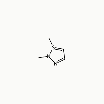 CN1N=C[C]=S1C